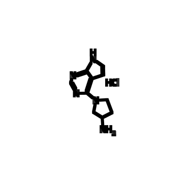 Cl.NC1CCN(c2ncnc3[nH]ccc23)C1